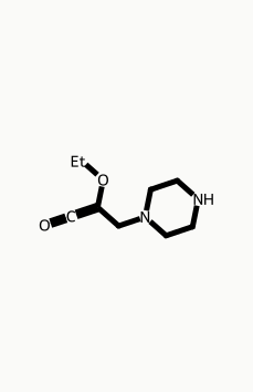 CCOC(=C=O)CN1CCNCC1